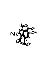 N#Cc1cc2c3c(c(C#N)cc4c3c1C(=O)OC4=O)C(=O)OC2=O